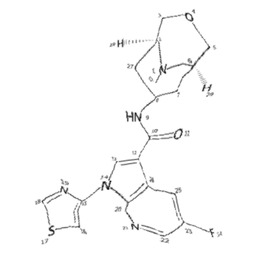 CN1[C@@H]2COC[C@H]1CC(NC(=O)c1cn(-c3cscn3)c3ncc(F)cc13)C2